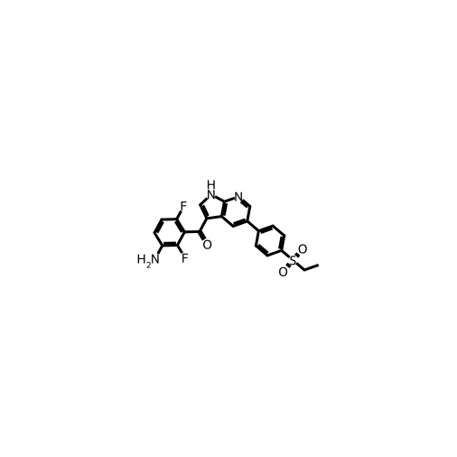 CCS(=O)(=O)c1ccc(-c2cnc3[nH]cc(C(=O)c4c(F)ccc(N)c4F)c3c2)cc1